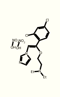 CCN(CC)CCOC(=Cn1ccnc1)c1ccc(Cl)cc1Cl.O=[N+]([O-])O.O=[N+]([O-])O